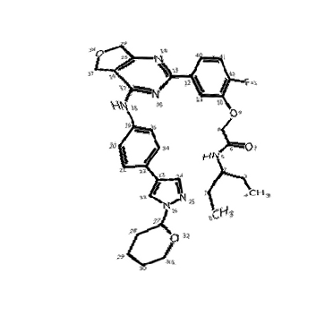 CCC(CC)NC(=O)COc1cc(-c2nc3c(c(Nc4ccc(-c5cnn(C6CCCCO6)c5)cc4)n2)COC3)ccc1F